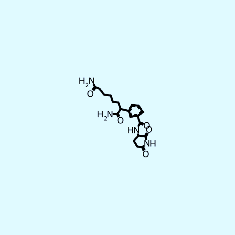 NC(=O)CCCCCC(C(N)=O)c1cccc(C(=O)NC2CCC(=O)NC2=O)c1